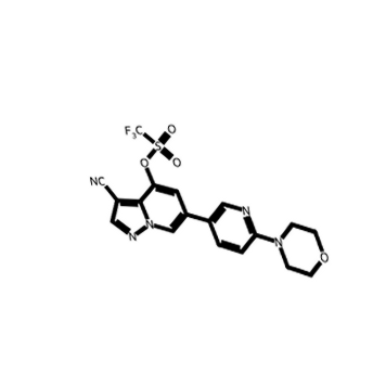 N#Cc1cnn2cc(-c3ccc(N4CCOCC4)nc3)cc(OS(=O)(=O)C(F)(F)F)c12